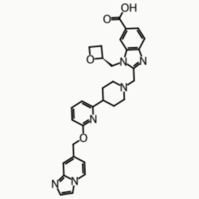 O=C(O)c1ccc2nc(CN3CCC(c4cccc(OCc5ccn6ccnc6c5)n4)CC3)n(C[C@@H]3CCO3)c2c1